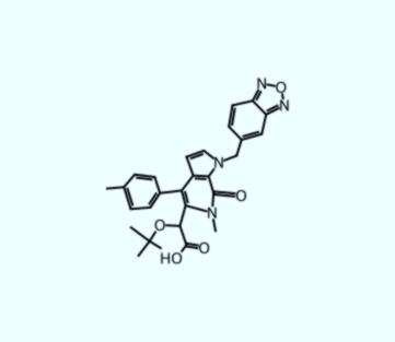 Cc1ccc(-c2c(C(OC(C)(C)C)C(=O)O)n(C)c(=O)c3c2ccn3Cc2ccc3nonc3c2)cc1